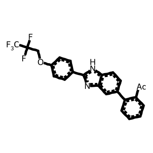 CC(=O)c1ccccc1-c1ccc2[nH]c(-c3ccc(OCC(F)(F)C(F)(F)F)cc3)nc2c1